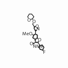 CNC(=O)c1c(-c2ccc(F)cc2)oc2cc(-c3cc(COC4CCCCO4)on3)c(OC)cc12